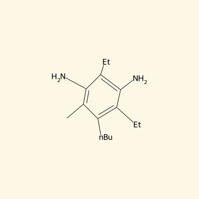 CCCCc1c(C)c(N)c(CC)c(N)c1CC